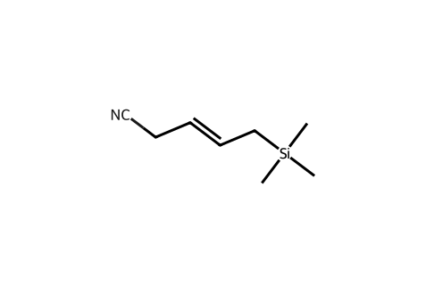 C[Si](C)(C)C/C=C/CC#N